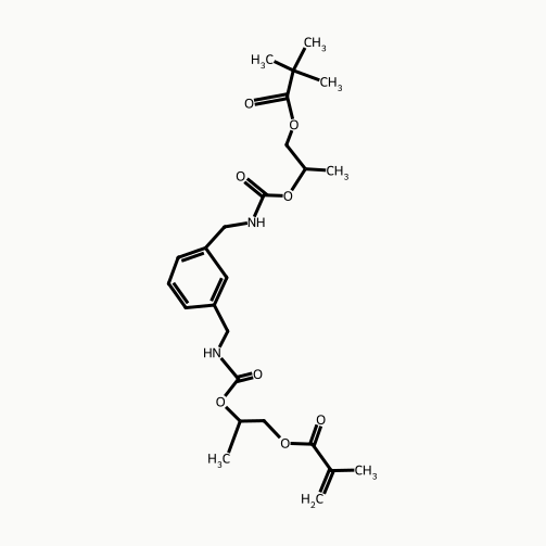 C=C(C)C(=O)OCC(C)OC(=O)NCc1cccc(CNC(=O)OC(C)COC(=O)C(C)(C)C)c1